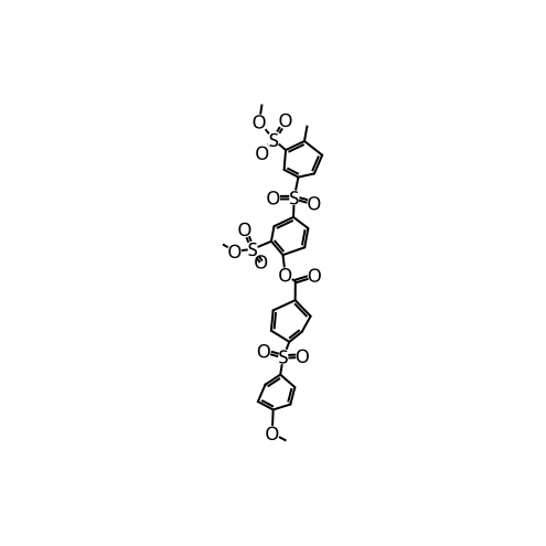 COc1ccc(S(=O)(=O)c2ccc(C(=O)Oc3ccc(S(=O)(=O)c4ccc(C)c(S(=O)(=O)OC)c4)cc3S(=O)(=O)OC)cc2)cc1